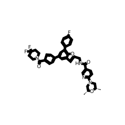 C[C@@H]1CN(c2ccc(C(=O)NCc3cc4cc(-c5ccc(C(=O)N6CCC(F)(F)CC6)cc5)cc(-c5ccc(F)cc5)c4o3)cn2)C[C@H](C)O1